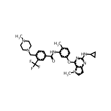 Cc1ccc(Oc2nc(NC3CC3)nc3ccn(C)c23)cc1NC(=O)c1ccc(CN2CCN(C)CC2)c(C(F)(F)F)c1